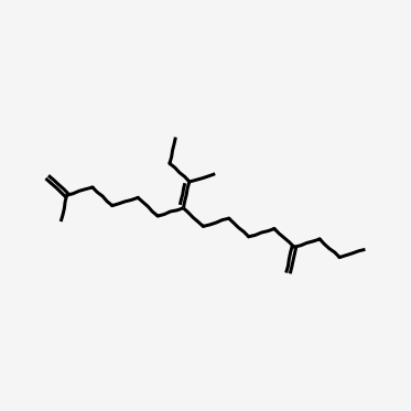 C=C(C)CCCCC(CCCCC(=C)CCC)=C(C)CC